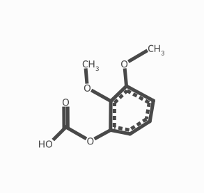 COc1cccc(OC(=O)O)c1OC